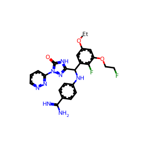 CCOc1cc(OCCF)c(F)c(C(Nc2ccc(C(=N)N)cc2)c2nn(-c3cccnn3)c(=O)[nH]2)c1